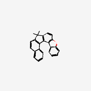 CC1(C)c2ccc3ccccc3c2-c2c1ccc1oc3ccccc3c21